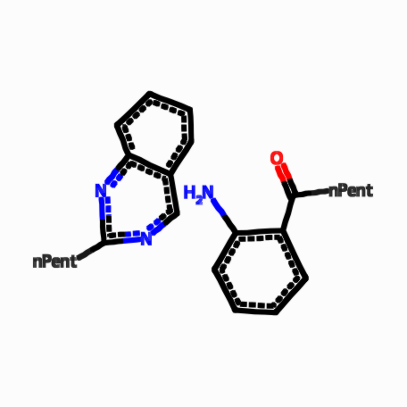 CCCCCC(=O)c1ccccc1N.CCCCCc1ncc2ccccc2n1